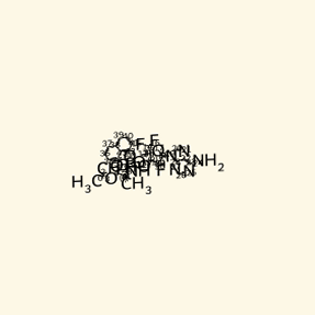 CC(C)OC(=O)[C@H](C)NP(=O)(OC[C@@]1(C(F)F)O[C@@H](n2cnc3c(N)ncnc32)[C@@H](F)[C@@H]1O)Oc1cccc2ccccc12